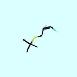 CC(C)(C)SC/C=C\F